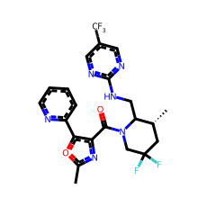 Cc1nc(C(=O)N2CC(F)(F)C[C@@H](C)C2CNc2ncc(C(F)(F)F)cn2)c(-c2ccccn2)o1